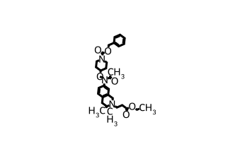 CCOC(=O)CCN1Cc2cc(N(OC3CCN(C(=O)OCc4ccccc4)CC3)C(C)=O)ccc2CC1(C)C